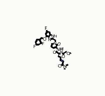 COCC(=O)N[C@@H](CC/C=C/C(=O)N(C)C)C(=O)Nc1cccn(Cc2nc3c(OCc4ccc(F)cc4F)cc(F)cc3[nH]2)c1=O